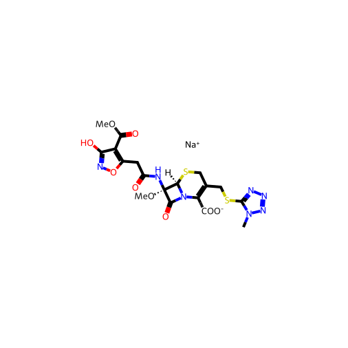 COC(=O)c1c(O)noc1CC(=O)N[C@]1(OC)C(=O)N2C(C(=O)[O-])=C(CSc3nnnn3C)CS[C@@H]21.[Na+]